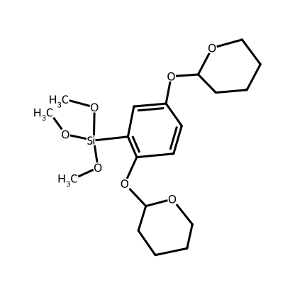 CO[Si](OC)(OC)c1cc(OC2CCCCO2)ccc1OC1CCCCO1